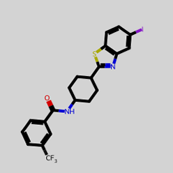 O=C(NC1CCC(c2nc3cc(I)ccc3s2)CC1)c1cccc(C(F)(F)F)c1